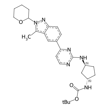 Cc1c2cc(-c3ccnc(N[C@H]4CC[C@H](NC(=O)OC(C)(C)C)C4)n3)ccc2nn1C1CCCCO1